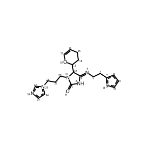 O=C1NC(=NCCc2cccs2)C(C2CCC=CO2)N1CCCn1ccnc1